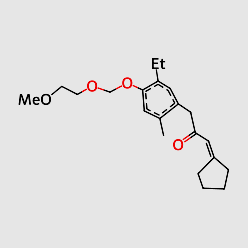 CCc1cc(CC(=O)C=C2CCCC2)c(C)cc1OCOCCOC